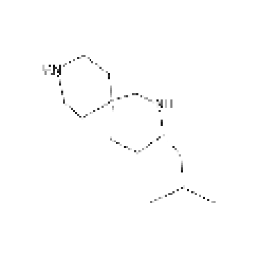 CC(C)CC1CCC2(CCNCC2)CN1